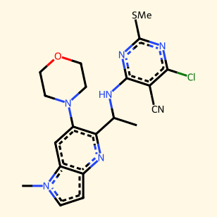 CSc1nc(Cl)c(C#N)c(NC(C)c2nc3ccn(C)c3cc2N2CCOCC2)n1